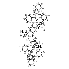 CC1(C)c2cc3c(cc2-c2cc4c(cc21)-c1c(cc(-c2nc5ccccc5n2-c2ccccc2)c2ccccc12)C4(C)C)C(C)(C)c1cc(-c2nc4ccccc4n2-c2ccccc2)c2ccccc2c1-3